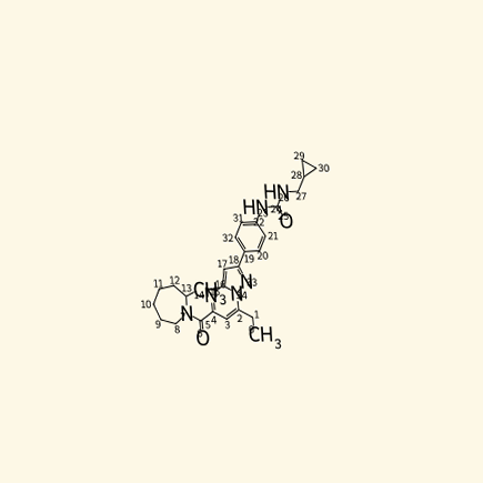 CCc1cc(C(=O)N2CCCCCC2C)nc2cc(-c3ccc(NC(=O)NCC4CC4)cc3)nn12